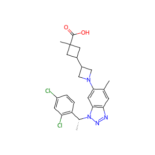 Cc1cc2nnn([C@H](C)c3ccc(Cl)cc3Cl)c2cc1N1CC(C2CC(C)(C(=O)O)C2)C1